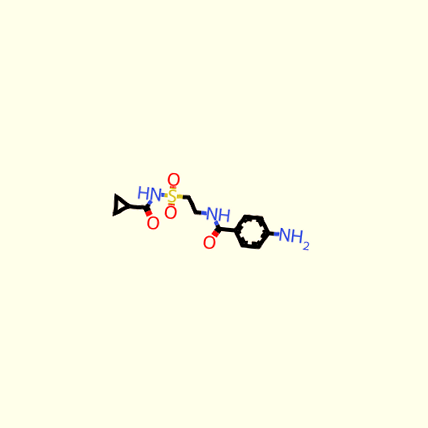 Nc1ccc(C(=O)NCCS(=O)(=O)NC(=O)C2CC2)cc1